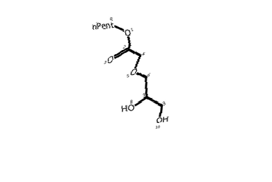 CCCCCOC(=O)COCC(O)CO